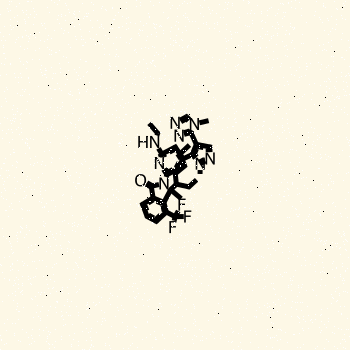 CCCCC(CC)C1(C)c2c(cccc2C(F)(F)F)C(=O)N1c1cc(-c2c(-c3nncn3C)cnn2C)cc(NCC)n1